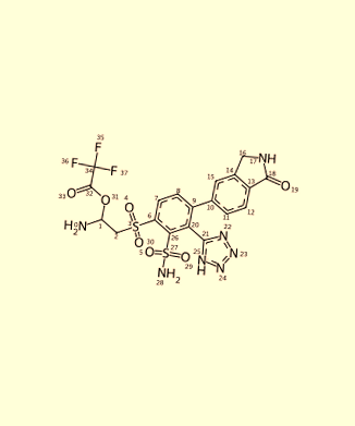 NC(CS(=O)(=O)c1ccc(-c2ccc3c(c2)CNC3=O)c(-c2nnn[nH]2)c1S(N)(=O)=O)OC(=O)C(F)(F)F